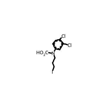 O=C(O)N(CCCI)c1ccc(Cl)c(Cl)c1